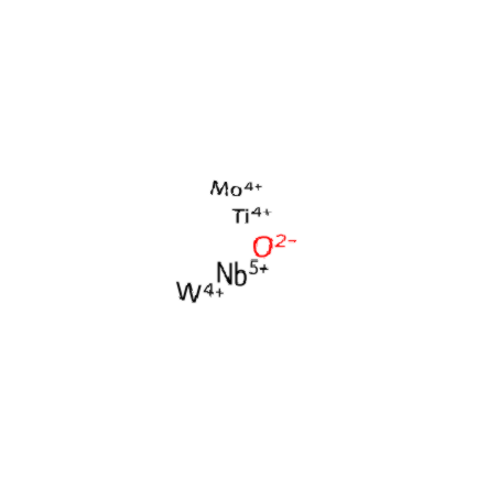 [Mo+4].[Nb+5].[O-2].[Ti+4].[W+4]